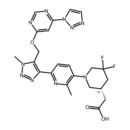 Cc1nc(-c2nnn(C)c2COc2cc(-n3ccnn3)ncn2)ccc1N1C[C@@H](CC(=O)O)CC(F)(F)C1